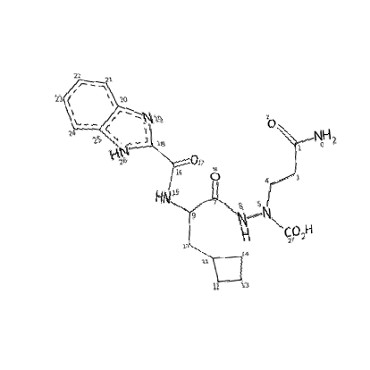 NC(=O)CCN(NC(=O)C(CC1CCC1)NC(=O)c1nc2ccccc2[nH]1)C(=O)O